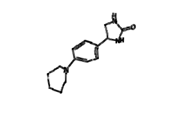 O=C1NCC(c2ccc(N3CCCCC3)cc2)N1